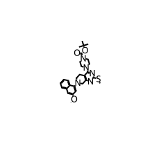 COc1cc(N2CCc3c(nc(SC)nc3N3CCN(C(=O)OC(C)(C)C)CC3)C2)c2ccccc2c1